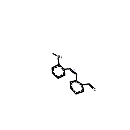 CNc1ccccc1/C=C\c1ccccc1C=O